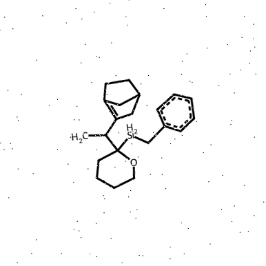 [CH2]C(C1=C2CCC(C2)C1)C1([SiH2]Cc2ccccc2)CCCCO1